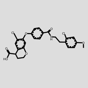 COc1ccc(CCNC(=O)c2ccc(Oc3cc4c(cc3Cl)C(C(=O)O)CCO4)cc2)c(Cl)c1